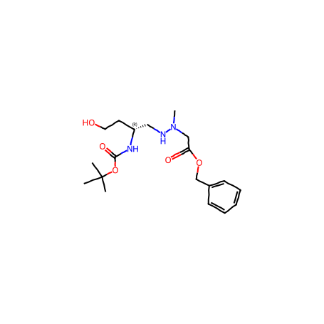 CN(CC(=O)OCc1ccccc1)NC[C@@H](CCO)NC(=O)OC(C)(C)C